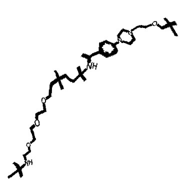 CC(NC(C)(C)CCC(C)(C)CCOCCOCCOCCNC(C)(C)C)c1ccc(N2CCN(CCOCC(C)(C)C)CC2)cc1